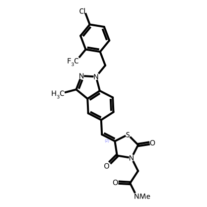 CNC(=O)CN1C(=O)S/C(=C\c2ccc3c(c2)c(C)nn3Cc2ccc(Cl)cc2C(F)(F)F)C1=O